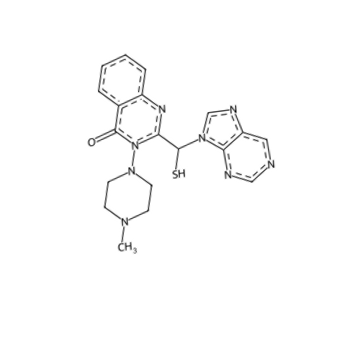 CN1CCN(n2c(C(S)n3cnc4cncnc43)nc3ccccc3c2=O)CC1